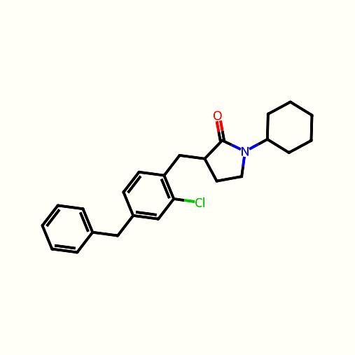 O=C1C(Cc2ccc(Cc3ccccc3)cc2Cl)CCN1C1CCCCC1